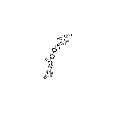 OC[C@@H](O)[C@@H](O)[C@H](O)[C@@H](O)CNCc1ccc(-c2ccc(-c3nc4nc(O[C@@H]5CO[C@H]6[C@@H]5OC[C@H]6O)[nH]c4cc3Cl)cc2)cc1